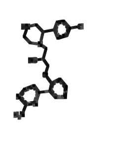 Nc1nccc(-c2ccccc2OCC(O)CN2CCNCC2c2ccc(Cl)cc2)n1